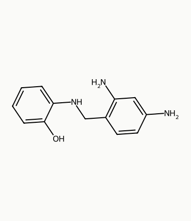 Nc1ccc(CNc2ccccc2O)c(N)c1